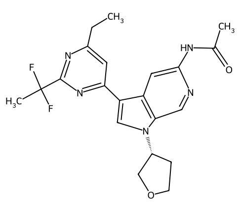 CCc1cc(-c2cn([C@@H]3CCOC3)c3cnc(NC(C)=O)cc23)nc(C(C)(F)F)n1